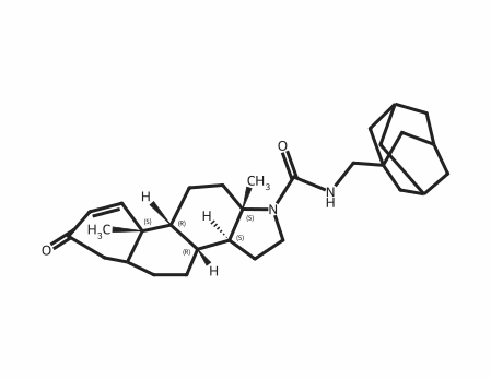 C[C@]12C=CC(=O)CC1CC[C@@H]1[C@H]2CC[C@@]2(C)[C@H]1CCN2C(=O)NCC12CC3CC(CC(C3)C1)C2